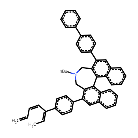 C=C/C=C\C(=C/C)c1ccc(-c2cc3ccccc3c3c2CN(CCCC)Cc2c(-c4ccc(-c5ccccc5)cc4)cc4ccccc4c2-3)cc1